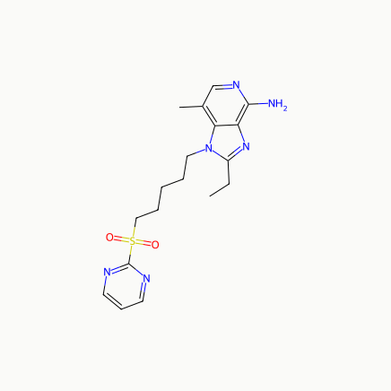 CCc1nc2c(N)ncc(C)c2n1CCCCCS(=O)(=O)c1ncccn1